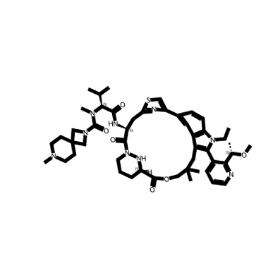 CCn1c(-c2cccnc2[C@H](C)OC)c2c3cc(ccc31)-c1csc(n1)C[C@H](NC(=O)[C@H](C(C)C)N(C)C(=O)N1CC3(CCN(C)CC3)C1)C(=O)N1CCC[C@H](N1)C(=O)OCC(C)(C)C2